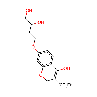 CCOC(=O)C1=C(O)c2ccc(OCCC(O)CO)cc2OC1